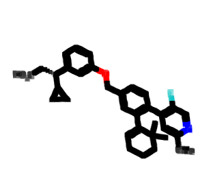 COc1cc(-c2ccc(COc3cccc([C@@H](CC(=O)O)C4CC4)c3)cc2C2=CCCCC2(C)C)c(F)cn1